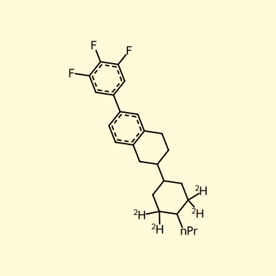 [2H]C1([2H])CC(C2CCc3cc(-c4cc(F)c(F)c(F)c4)ccc3C2)CC([2H])([2H])C1CCC